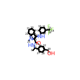 CC(NC(=O)c1c(Nc2cccc(C(F)(F)F)c2)c2ccccc2n1C)c1ccc(CO)cc1